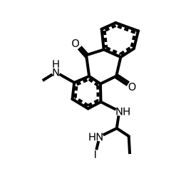 CCC(NI)Nc1ccc(NC)c2c1C(=O)c1ccccc1C2=O